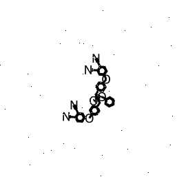 N#Cc1ccc(Oc2ccc(CP(=O)(Cc3ccc(Oc4ccc(C#N)c(C#N)c4)cc3)Oc3ccccc3)cc2)cc1C#N